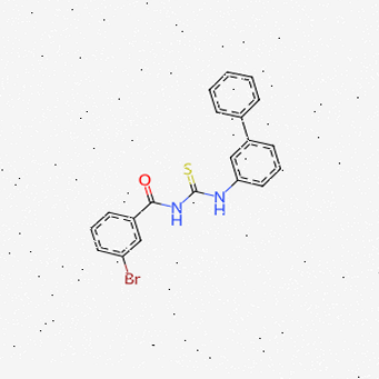 O=C(NC(=S)Nc1cccc(-c2ccccc2)c1)c1cccc(Br)c1